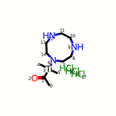 C[C](=O)[Ti]([CH3])([CH3])[N]1CCNCCNCC1.Cl.Cl.Cl